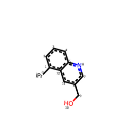 CC(C)c1cccc2ncc(CO)cc12